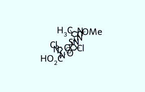 COc1cnc2c(-c3nc4c(Cl)cc5c(c4s3)OC[C@@H](CN(C(=O)O)c3ccc(Cl)nc3)O5)cc(C)cc2n1